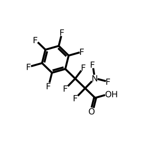 O=C(O)C(F)(N(F)F)C(F)(F)c1c(F)c(F)c(F)c(F)c1F